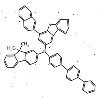 CC1(C)c2ccccc2-c2ccc(N(c3ccc(-c4ccc(-c5ccccc5)cc4)cc3)c3cc(-c4ccc5ccccc5c4)c4sc5ccccc5c4c3)cc21